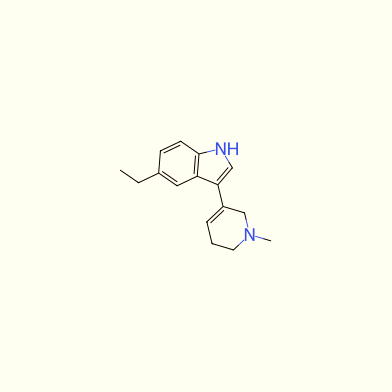 CCc1ccc2[nH]cc(C3=CCCN(C)C3)c2c1